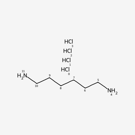 Cl.Cl.Cl.Cl.NCCCCCCN